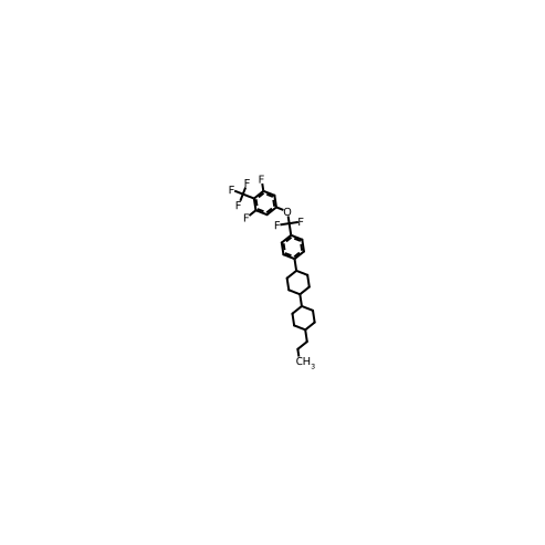 CCCC1CCC(C2CCC(c3ccc(C(F)(F)Oc4cc(F)c(C(F)(F)F)c(F)c4)cc3)CC2)CC1